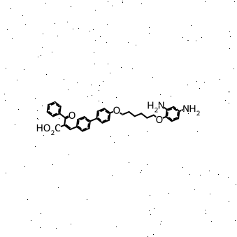 Nc1ccc(OCCCCCCOc2ccc(-c3ccc(C=C(C(=O)O)C(=O)c4ccccc4)cc3)cc2)c(N)c1